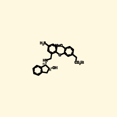 Bc1ccc(Oc2cc(CC(=O)OCC)ccc2OC)c(CN[C@H]2c3ccccc3C[C@H]2O)c1